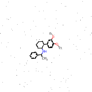 CCOc1ccc(C2CCCCC2NC(C)c2ccccc2)cc1OCC